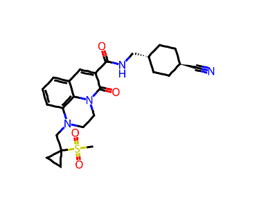 CS(=O)(=O)C1(CN2CCn3c(=O)c(C(=O)NC[C@H]4CC[C@H](C#N)CC4)cc4cccc2c43)CC1